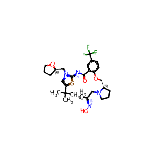 C/C(CN1CCC[C@H]1COc1ccc(C(F)(F)F)cc1C(=O)/N=c1\sc(C(C)(C)C)cn1C[C@H]1CCCO1)=N\O